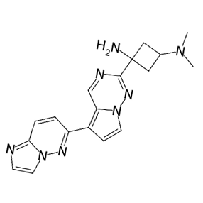 CN(C)C1CC(N)(c2ncc3c(-c4ccc5nccn5n4)ccn3n2)C1